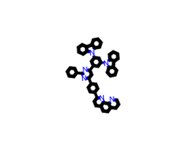 c1ccc(-c2nc(-c3ccc(-c4ccc5ccc6cccnc6c5n4)cc3)cc(-c3cc(-n4c5ccccc5c5ccccc54)cc(-n4c5ccccc5c5ccccc54)c3)n2)cc1